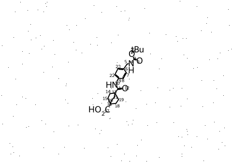 CC(C)(C)OC(=O)NCc1ccc(NC(=O)C23CCC(C(=O)O)(CC2)CC3)cc1